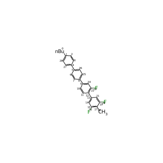 CCCCc1ccc(-c2ccc(-c3ccc(-c4cc(F)c(C)c(F)c4)c(F)c3)cc2)cc1